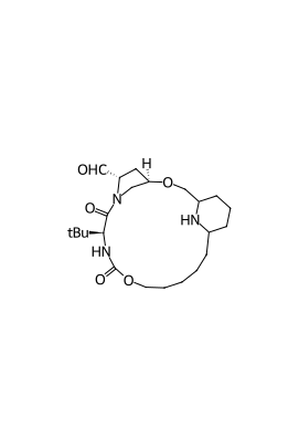 CC(C)(C)[C@@H]1NC(=O)OCCCCCC2CCCC(CO[C@@H]3C[C@@H](C=O)N(C3)C1=O)N2